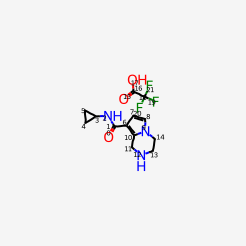 O=C(NC1CC1)c1ccn2c1CNCC2.O=C(O)C(F)(F)F